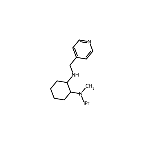 CC(C)N(C)C1CCCCC1NCc1ccncc1